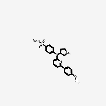 CNS(=O)(=O)c1ccc(N(c2cccc(-c3ccc(OC(F)(F)F)cc3)n2)C2CCNC2)cc1